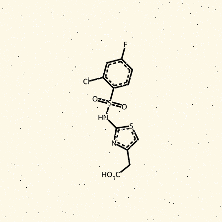 O=C(O)Cc1csc(NS(=O)(=O)c2ccc(F)cc2Cl)n1